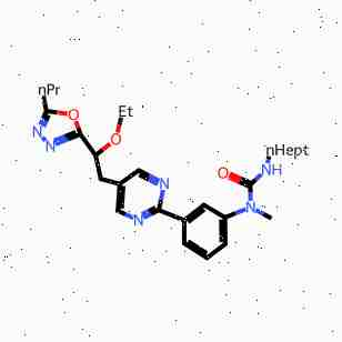 CCCCCCCNC(=O)N(C)c1cccc(-c2ncc(CC(OCC)c3nnc(CCC)o3)cn2)c1